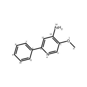 COc1cnc(-c2ccccc2)cc1[AsH2]